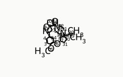 COc1ccc(C2=NOC(C)(C(=O)N3CCN(CC(C)C)CC3)C2)cc1OC1CCCC1